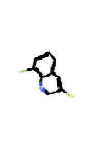 Fc1cccc2cc(S)cnc12